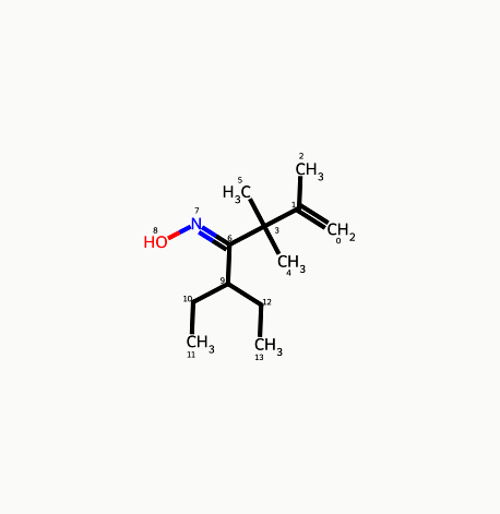 C=C(C)C(C)(C)C(=NO)C(CC)CC